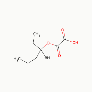 CCC1BC1(CC)OC(=O)C(=O)O